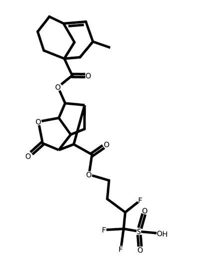 CC1C=C2CCCC(C(=O)OC3C4CC5C3OC(=O)C5C4C(=O)OCCC(F)C(F)(F)S(=O)(=O)O)(C2)C1